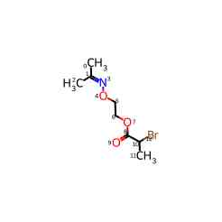 CC(C)=NOCCOC(=O)C(C)Br